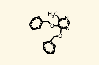 Cc1ncnc(OCc2ccccc2)c1OCc1ccccc1